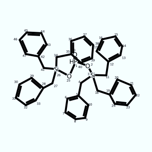 O=[PH](O[Si](Cc1ccccc1)(Cc1ccccc1)Cc1ccccc1)O[Si](Cc1ccccc1)(Cc1ccccc1)Cc1ccccc1